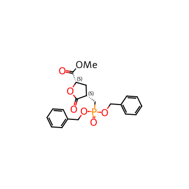 COC(=O)[C@@H]1C[C@H](CP(=O)(OCc2ccccc2)OCc2ccccc2)C(=O)O1